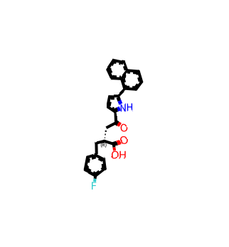 O=C(C[C@@H](Cc1ccc(F)cc1)C(=O)O)c1ccc(-c2cccc3ccccc23)[nH]1